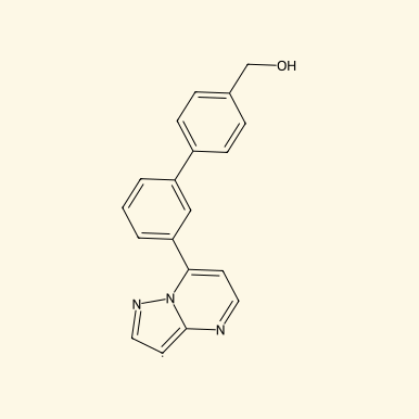 OCc1ccc(-c2cccc(-c3ccnc4[c]cnn34)c2)cc1